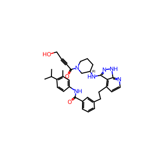 Cc1cc(NC(=O)c2cccc(CCc3ccnc4[nH]nc(N[C@@H]5CCCN(C(=O)C#CCO)C5)c34)c2)ccc1C(C)C